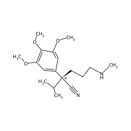 CNCCC[C@](C#N)(c1cc(OC)c(OC)c(OC)c1)C(C)C